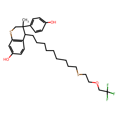 CC1(c2ccc(O)cc2)CSc2cc(O)ccc2C1CCCCCCCCCSCCOCC(F)(F)F